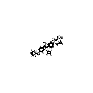 CC(C)(C)CC(=O)N(CC1CC1)c1ccc(-c2c(C#N)c3ccc(Oc4ncccn4)cc3n2C2CCC2)cc1